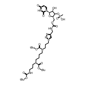 CC(C)(C)OC(=O)NCCCN(CCCCN(CCCn1cc(CNC(=O)OC[C@H]2O[C@@H](n3ccc(=O)[nH]c3=O)[C@@H](O)C2OP(C)(=O)O)nn1)C(=O)OC(C)(C)C)C(=O)OC(C)(C)C